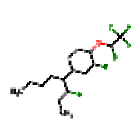 CCCCC(C(F)CC)C1CCC(OC(F)C(F)(F)F)C(F)C1